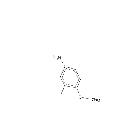 Cc1cc(N)ccc1OC=O